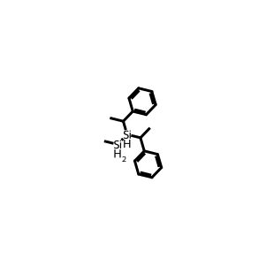 C[SiH2][SiH](C(C)c1ccccc1)C(C)c1ccccc1